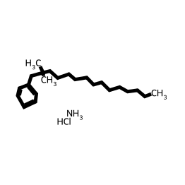 CCCCCCCCCCCCCC(C)(C)Cc1ccccc1.Cl.N